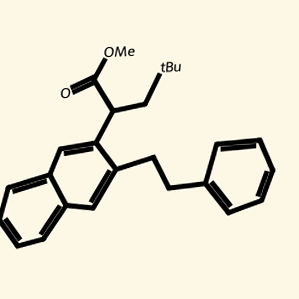 COC(=O)C(CC(C)(C)C)c1cc2ccccc2cc1CCc1ccccc1